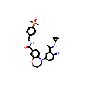 C/C(NC1CC1)=C1\C=C(N2CCCOc3cc(C(=O)NCc4ccc([SH](C)(C)=O)cc4)ccc32)C=CC1=N